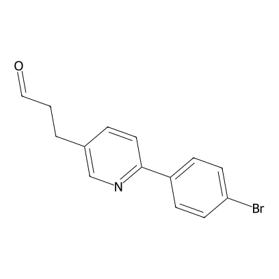 O=CCCc1ccc(-c2ccc(Br)cc2)nc1